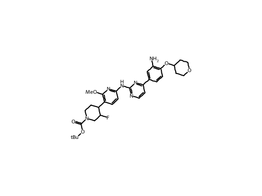 COc1nc(Nc2nccc(-c3ccc(OC4CCOCC4)c(N)c3)n2)ccc1C1CCN(C(=O)OC(C)(C)C)CC1F